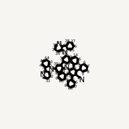 N#Cc1c(-c2ccccc2)c(-c2ccccc2)c(-n2c3ccc(-n4c5ccccc5c5ncccc54)cc3c3cc(-n4c5ccccc5c5ncccc54)ccc32)c(-c2ccccc2)c1-c1ccccc1